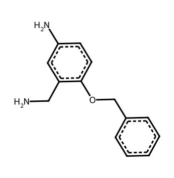 NCc1cc(N)ccc1OCc1ccccc1